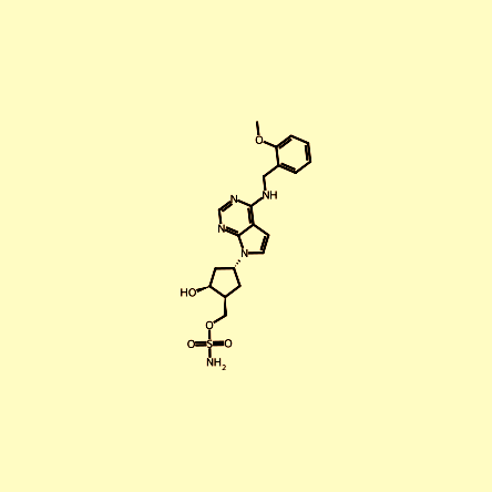 COc1ccccc1CNc1ncnc2c1ccn2[C@@H]1C[C@@H](COS(N)(=O)=O)[C@@H](O)C1